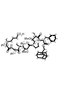 CC[C@H](C)[C@@H]([C@@H](CC(=O)N1CCC[C@H]1[C@H](OC)[C@@H](C)C(=O)N[C@@H](Cc1ccccc1)C(=O)OCC12CC3CC(CC(C3)C1)C2)OC)N(C)C(=O)[C@@H](NC(=O)[C@H](C(C)C)N(C)CCCC(=O)O)C(C)C